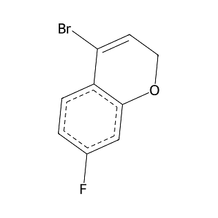 Fc1ccc2c(c1)OCC=C2Br